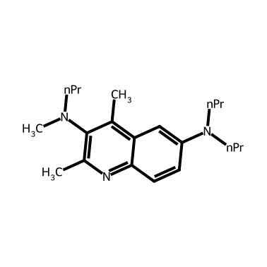 CCCN(C)c1c(C)nc2ccc(N(CCC)CCC)cc2c1C